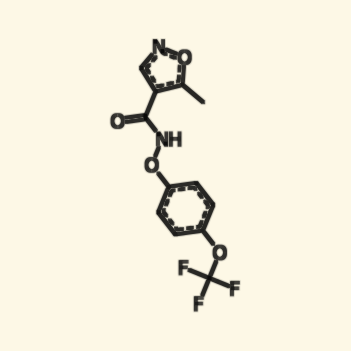 Cc1oncc1C(=O)NOc1ccc(OC(F)(F)F)cc1